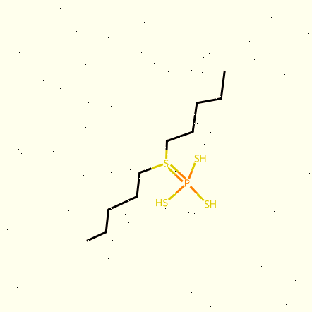 CCCCCS(CCCCC)=P(S)(S)S